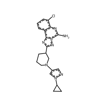 Nc1nc2c(Cl)cccc2c2nc(C3CCCN(c4cnn(C5CC5)c4)C3)nn12